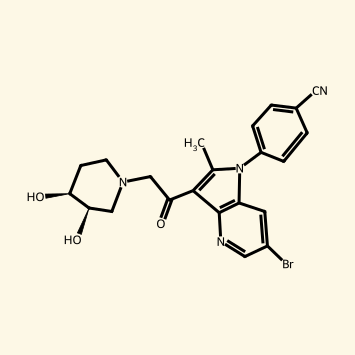 Cc1c(C(=O)CN2CC[C@H](O)[C@H](O)C2)c2ncc(Br)cc2n1-c1ccc(C#N)cc1